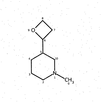 CN1CCCC(C2CCO2)C1